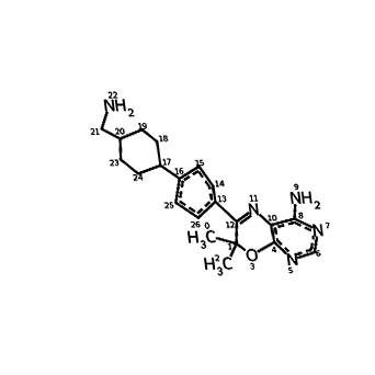 CC1(C)Oc2ncnc(N)c2N=C1c1ccc(C2CCC(CN)CC2)cc1